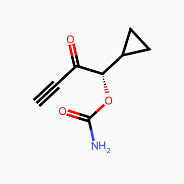 C#CC(=O)[C@@H](OC(N)=O)C1CC1